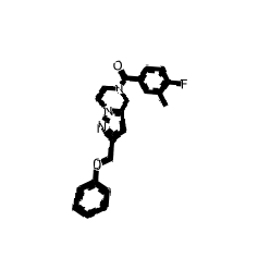 Cc1cc(C(=O)N2CCn3nc(COc4ccccc4)cc3C2)ccc1F